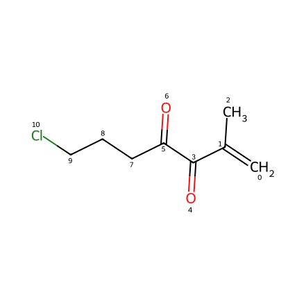 C=C(C)C(=O)C(=O)CCCCl